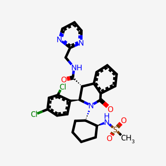 CS(=O)(=O)N[C@H]1CCCC[C@@H]1N1C(=O)c2ccccc2[C@@H](C(=O)NCc2ncccn2)[C@@H]1c1ccc(Cl)cc1Cl